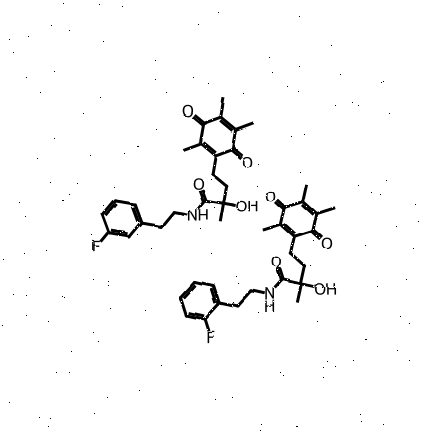 CC1=C(C)C(=O)C(CCC(C)(O)C(=O)NCCc2cccc(F)c2)=C(C)C1=O.CC1=C(C)C(=O)C(CCC(C)(O)C(=O)NCCc2ccccc2F)=C(C)C1=O